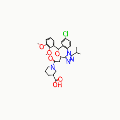 COc1cccc(C2OC(CC(=O)N3CCCC(C(=O)O)C3)c3nnc(C(C)C)n3-c3ccc(Cl)cc32)c1OC